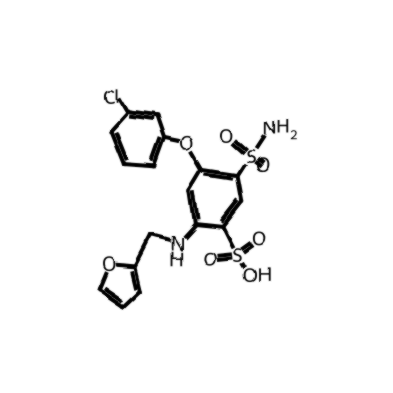 NS(=O)(=O)c1cc(S(=O)(=O)O)c(NCc2ccco2)cc1Oc1cccc(Cl)c1